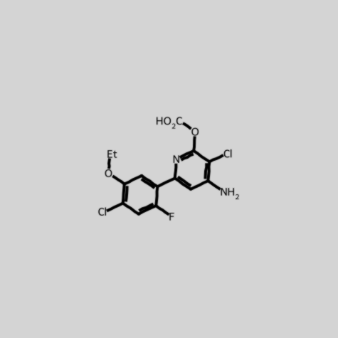 CCOc1cc(-c2cc(N)c(Cl)c(OC(=O)O)n2)c(F)cc1Cl